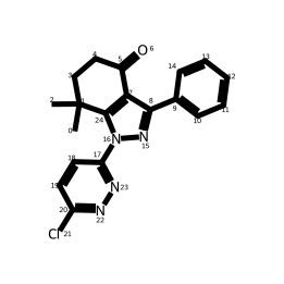 CC1(C)CCC(=O)c2c(-c3ccccc3)nn(-c3ccc(Cl)nn3)c21